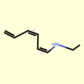 C=C/C=C\C=C/NCC